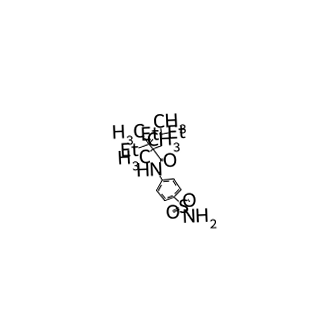 CCC(C)(CC)CC(C)(C(=O)Nc1ccc(S(N)(=O)=O)cc1)C(C)(C)CC